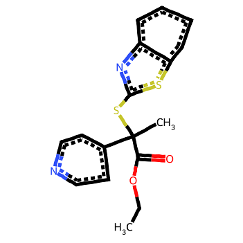 CCOC(=O)C(C)(Sc1nc2ccccc2s1)c1ccncc1